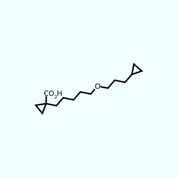 O=C(O)C1(CCCCCOCCCC2CC2)CC1